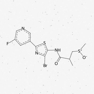 CC(C[S+](C)[O-])C(=O)Nc1sc(-c2cncc(F)c2)nc1Br